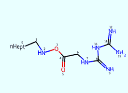 CCCCCCCCNOC(=O)CNC(=N)NC(=N)N